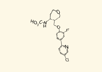 O=C(O)NC1CCOCC1COc1ccc(-c2ccc(Cl)cn2)cc1F